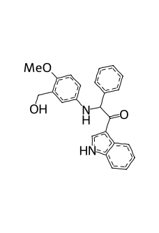 COc1ccc(NC(C(=O)c2c[nH]c3ccccc23)c2ccccc2)cc1CO